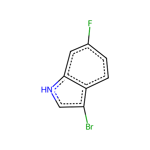 Fc1ccc2c(Br)c[nH]c2c1